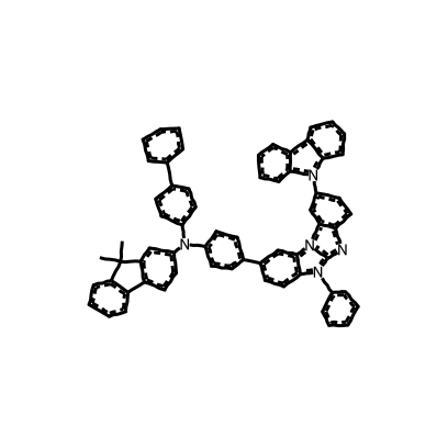 CC1(C)c2ccccc2-c2ccc(N(c3ccc(-c4ccccc4)cc3)c3ccc(-c4ccc5c(c4)n4c6cc(-n7c8ccccc8c8ccccc87)ccc6nc4n5-c4ccccc4)cc3)cc21